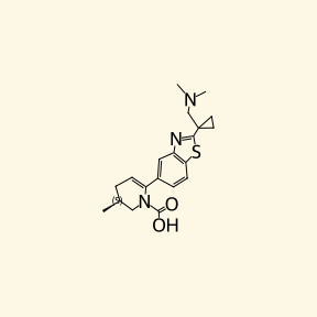 C[C@H]1CC=C(c2ccc3sc(C4(CN(C)C)CC4)nc3c2)N(C(=O)O)C1